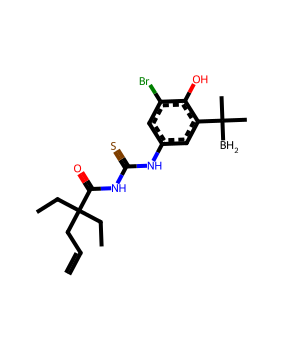 BC(C)(C)c1cc(NC(=S)NC(=O)C(CC)(CC)CC=C)cc(Br)c1O